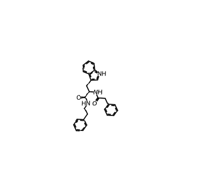 O=C(Cc1ccccc1)NC(Cc1c[nH]c2ccccc12)C(=O)NCCc1ccccc1